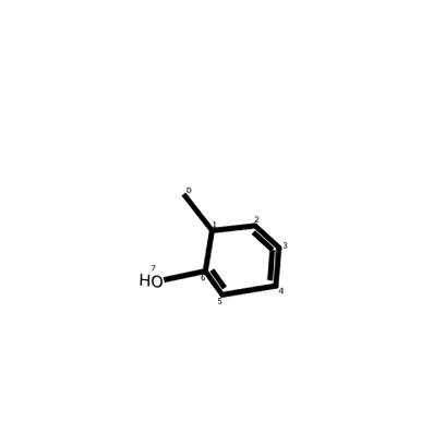 CC1C=C=CC=C1O